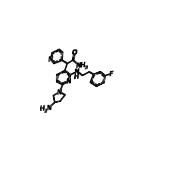 NC(=O)C(c1cccnc1)c1ccc(N2CCC(N)C2)nc1NCCc1cccc(F)c1